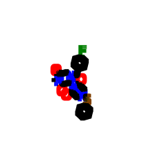 O=C1CN(Cc2ccc(F)cc2)C(N2C(=O)CN(Sc3ccccc3)CC2=O)C(=O)[N]1